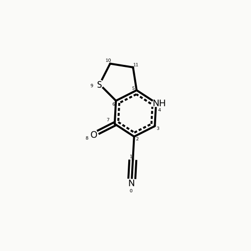 N#Cc1c[nH]c2c(c1=O)SCC2